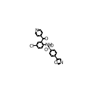 O=C(c1ccncc1)c1cc(Cl)ccc1NS(=O)(=O)c1ccc(-c2cnco2)cc1